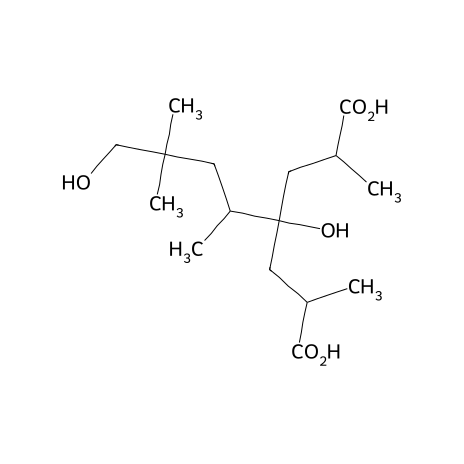 CC(CC(O)(CC(C)C(=O)O)C(C)CC(C)(C)CO)C(=O)O